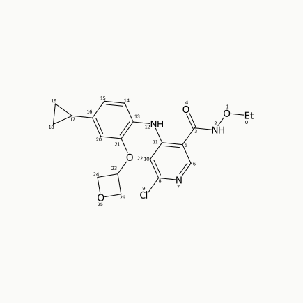 CCONC(=O)c1cnc(Cl)cc1Nc1ccc(C2CC2)cc1OC1COC1